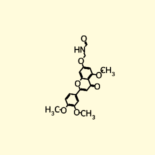 COc1ccc(-c2cc(=O)c3c(OC)cc(OCNC=O)cc3o2)cc1OC